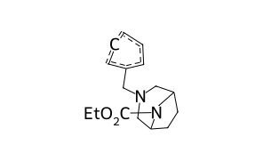 CCOC(=O)N1CC2CCC1CN(Cc1ccccc1)C2